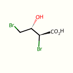 O=C(O)[C@@H](Br)[C@@H](O)CBr